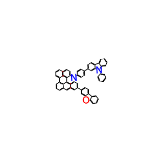 c1ccc(-c2cccc3cccc(-c4ccccc4N(c4ccc(-c5ccc6c7ccccc7n(-c7ccccc7)c6c5)cc4)c4cccc(-c5ccc6c(c5)oc5ccccc56)c4)c23)cc1